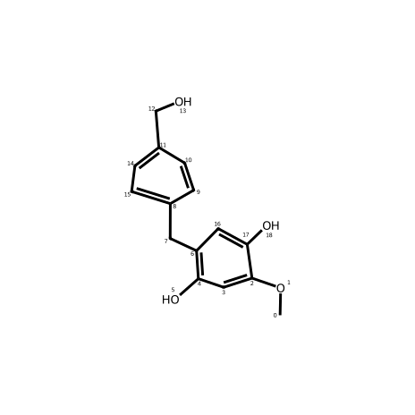 COc1cc(O)c(Cc2ccc(CO)cc2)cc1O